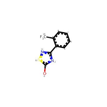 [O]c1nc(-c2ccccc2C(F)(F)F)ns1